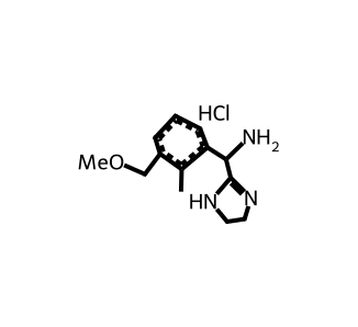 COCc1cccc(C(N)C2=NCCN2)c1C.Cl